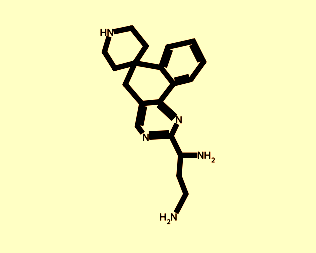 NCCC(N)c1ncc2c(n1)-c1ccccc1C1(CCNCC1)C2